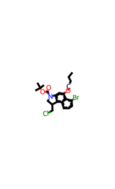 CCCCOc1cc2c(c3cccc(Br)c13)C(CCl)CN2C(=O)OC(C)(C)C